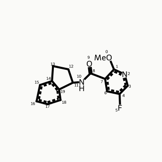 COc1ncc(F)cc1C(=O)NC1CCc2ccccc21